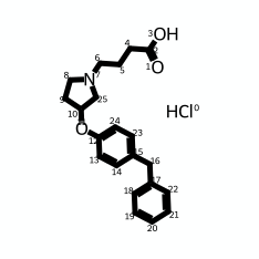 Cl.O=C(O)CCCN1CCC(Oc2ccc(Cc3ccccc3)cc2)C1